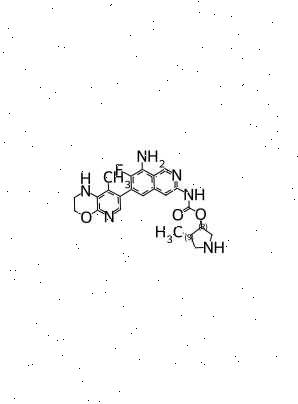 Cc1c(-c2cc3cc(NC(=O)O[C@H]4CNC[C@@H]4C)ncc3c(N)c2F)cnc2c1NCCO2